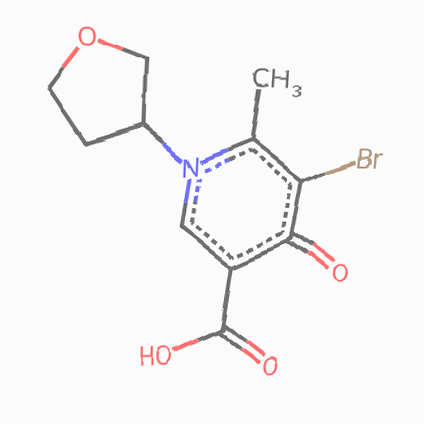 Cc1c(Br)c(=O)c(C(=O)O)cn1C1CCOC1